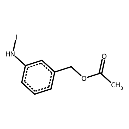 CC(=O)OCc1cccc(NI)c1